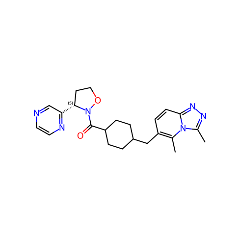 Cc1nnc2ccc(CC3CCC(C(=O)N4OCC[C@H]4c4cnccn4)CC3)c(C)n12